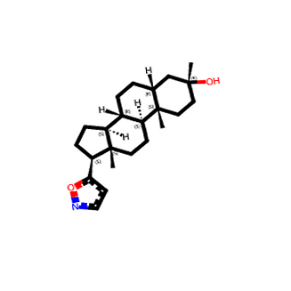 C[C@@]1(O)CC[C@@]2(C)[C@H](CC[C@@H]3[C@@H]2CC[C@]2(C)[C@@H](c4ccno4)CC[C@@H]32)C1